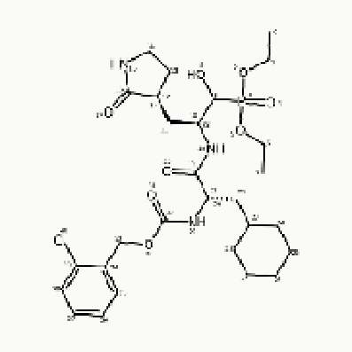 CCOP(=O)(OCC)C(O)[C@H](C[C@@H]1CCNC1=O)NC(=O)[C@H](CC1CCCCC1)NC(=O)OCc1ccccc1Cl